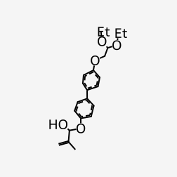 C=C(C)C(O)Oc1ccc(-c2ccc(OCC(OCC)OCC)cc2)cc1